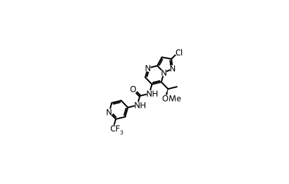 CO[C@H](C)c1c(NC(=O)Nc2ccnc(C(F)(F)F)c2)cnc2cc(Cl)nn12